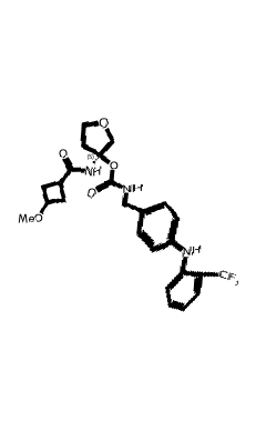 COC1CC(C(=O)N[C@]2(OC(=O)NCc3ccc(Nc4ccccc4C(F)(F)F)cc3)CCOC2)C1